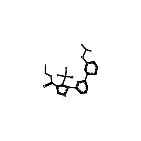 CCOC(=O)c1cnn(-c2cccc(-c3cccc(OC(C)C)c3)n2)c1C(F)(F)F